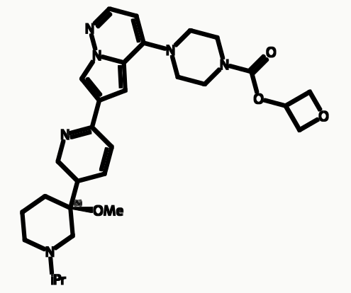 CO[C@]1(C2C=CC(c3cc4c(N5CCN(C(=O)OC6COC6)CC5)ccnn4c3)=NC2)CCCN(C(C)C)C1